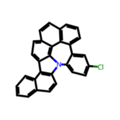 Clc1ccc2c(c1)c1cccc3ccc4ccc5c6c7ccccc7ccc6n2c5c4c31